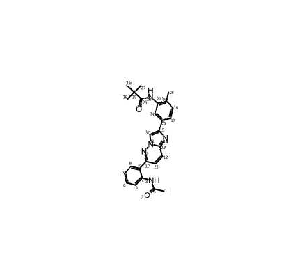 CC(=O)Nc1ccccc1-c1ccc2nc(-c3ccc(C)c(NC(=O)C(C)(C)C)c3)cn2n1